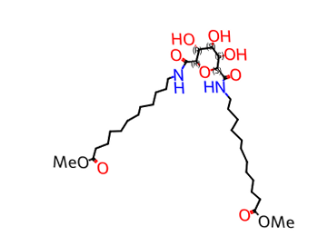 COC(=O)CCCCCCCCCCCNC(=O)[C@H]1O[C@@H](C(=O)NCCCCCCCCCCCC(=O)OC)[C@H](O)[C@@H](O)[C@@H]1O